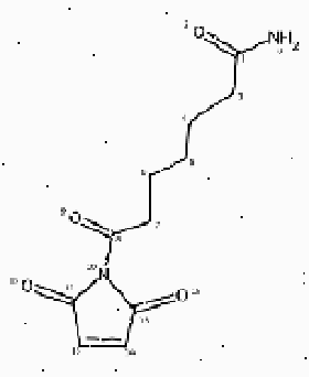 NC(=O)CCCCCC(=O)N1C(=O)C=CC1=O